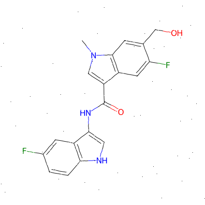 Cn1cc(C(=O)Nc2c[nH]c3ccc(F)cc23)c2cc(F)c(CO)cc21